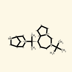 CC(C)(C)N1CC[C@H](C(C)(C)N2CC3CNC(C3)C2)C2CCCN2C1